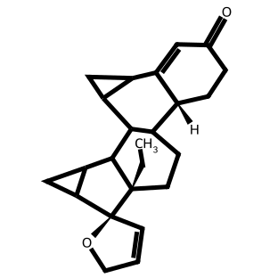 CC[C@]12CCC3C(C4CC4C4=CC(=O)CC[C@@H]43)C1C1CC1[C@@]21C=CCO1